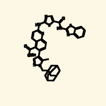 COC(=O)c1c(-c2cnn(CC34CC5CC(CC(C5)C3)C4)c2C)ccc2nc(Nc3ncc(C(=O)Nc4nc5ccccc5s4)s3)ccc12